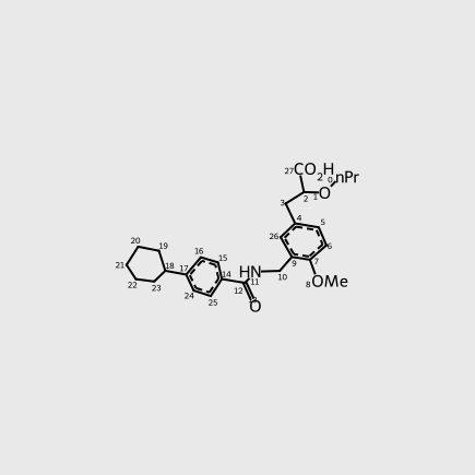 CCCOC(Cc1ccc(OC)c(CNC(=O)c2ccc(C3CCCCC3)cc2)c1)C(=O)O